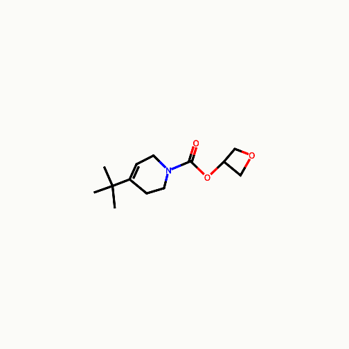 CC(C)(C)C1=CCN(C(=O)OC2COC2)CC1